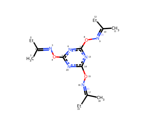 CCC(C)=NOc1nc(O/N=C(/C)CC)nc(O/N=C(\C)CC)n1